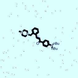 CCCCN(CCCC)c1ccc(C(=O)/C=C/c2ccccc2CN2CCN(C)CC2)cc1